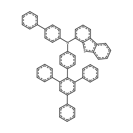 c1ccc(-c2ccc(N(c3ccc(-c4c(-c5ccccc5)cc(-c5ccccc5)cc4-c4ccccc4)cc3)c3cccc4c3sc3ccccc34)cc2)cc1